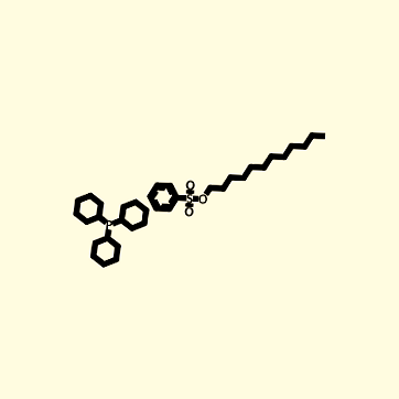 C1CCC(P(C2CCCCC2)C2CCCCC2)CC1.CCCCCCCCCCCCOS(=O)(=O)c1ccccc1